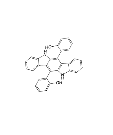 Oc1ccccc1-c1c2[nH]c3ccccc3c2c(-c2ccccc2O)c2[nH]c3ccccc3c12